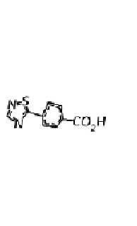 O=C(O)c1ccc(-c2ncns2)cc1